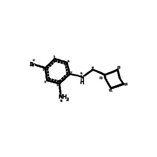 Nc1cc(Br)ccc1NCC1CCC1